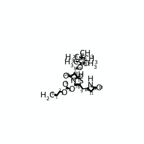 C=CCOC(=O)OC1=C(C[C@@H]2CC(=O)N2)S[C@@H]2[C@@H](CO[Si](C)(C)C(C)(C)C)C(=O)N12